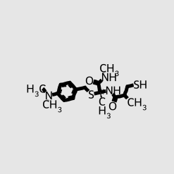 CNC(=O)[C@@](C)(NC(=O)C(C)CS)SCc1ccc(N(C)C)cc1